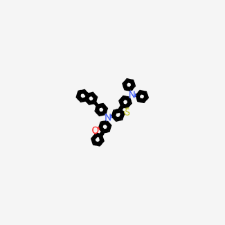 c1ccc(N(c2ccccc2)c2ccc3c(c2)sc2ccc(N(c4ccc(-c5ccc6ccccc6c5)cc4)c4ccc5c(c4)oc4ccccc45)cc23)cc1